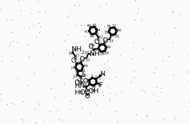 N#Cc1ccc(C(NS(=O)(=O)c2cc3cc(OCCN)c(OCCNC(=O)c4cccc(OCc5ccccc5)c4OCc4ccccc4)cc3s2)P(=O)(O)O)cc1F